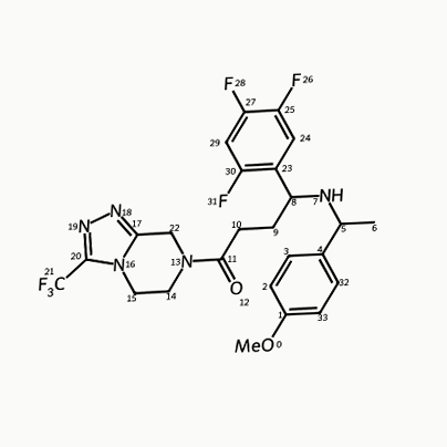 COc1ccc(C(C)NC(CCC(=O)N2CCn3c(nnc3C(F)(F)F)C2)c2cc(F)c(F)cc2F)cc1